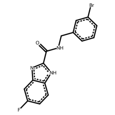 O=C(NCc1cccc(Br)c1)c1nc2cc(F)ccc2[nH]1